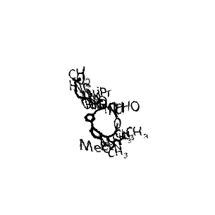 C=CC(=O)N1CC[C@@](O)(C(=O)N(C)[C@H](C(=O)N[C@H]2Cc3cccc(c3)-c3ccc4c(c3)c(c(-c3cc(C5CN(C)C5)cnc3[C@H](C)OC)n4CC)CC(C)(C)COCC3(C=O)CCCN(N3)C2=O)C(C)C)C1